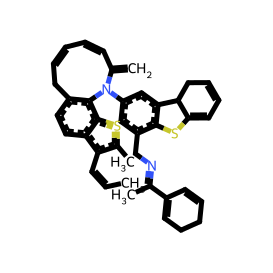 C=C1/C=C\C=C/Cc2ccc3c(/C=C\C)c(C)sc3c2N1c1cc(C/N=C(\C)C2=CCCC=C2)c2c(c1)C1CC=CC=C1S2